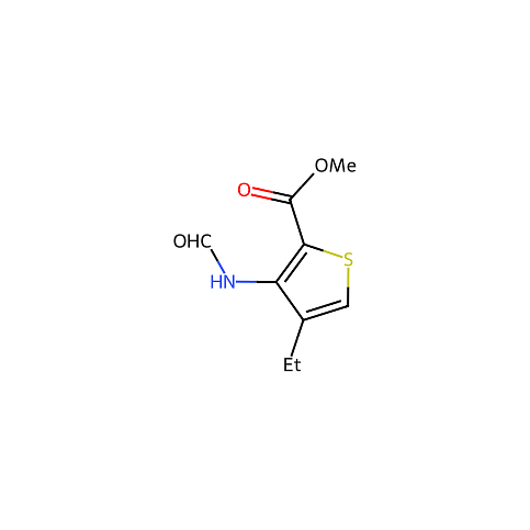 CCc1csc(C(=O)OC)c1NC=O